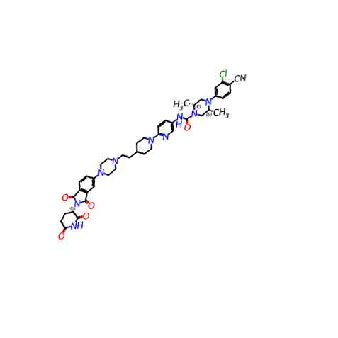 C[C@@H]1CN(c2ccc(C#N)c(Cl)c2)[C@@H](C)CN1C(=O)Nc1ccc(N2CCC(CCN3CCN(c4ccc5c(c4)C(=O)N([C@H]4CCC(=O)NC4=O)C5=O)CC3)CC2)nc1